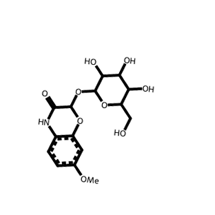 COc1ccc2c(c1)OC(OC1OC(CO)C(O)C(O)C1O)C(=O)N2